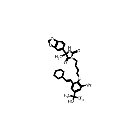 CCCc1cc(C(O)(C(F)(F)F)C(F)(F)F)cc(/C=C/C2CCCCC2)c1OCCCCN1C(=O)NC(C)(c2ccc3c(c2)OCO3)C1=O